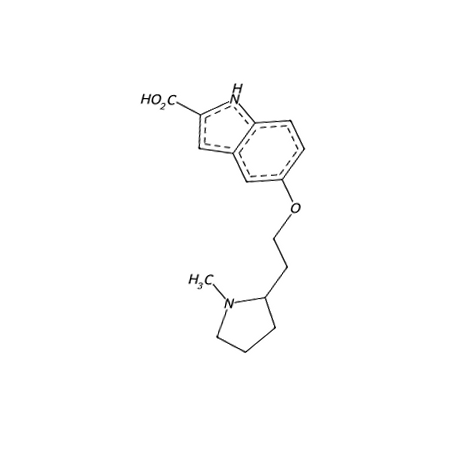 CN1CCCC1CCOc1ccc2[nH]c(C(=O)O)cc2c1